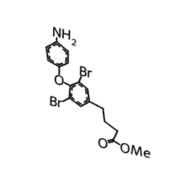 COC(=O)CCCc1cc(Br)c(Oc2ccc(N)cc2)c(Br)c1